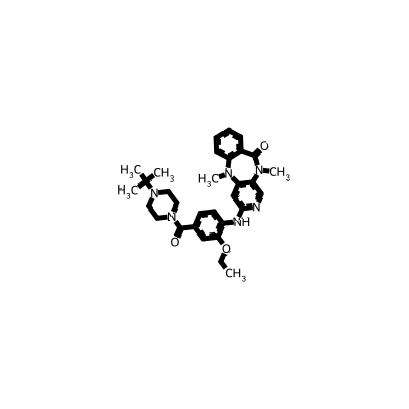 CCOc1cc(C(=O)N2CCN(C(C)(C)C)CC2)ccc1Nc1cc2c(cn1)N(C)C(=O)c1ccccc1N2C